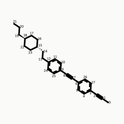 CC#Cc1ccc(C#Cc2ccc(CC[C@H]3CC[C@H](CCC)CC3)cc2)cc1